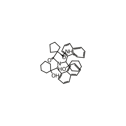 NC(=O)C1(C(=O)N(C(c2cccc3ccccc23)C2(O)CCCCC2)C(c2cccc3ccccc23)C2(O)CCCCC2)CCCC1